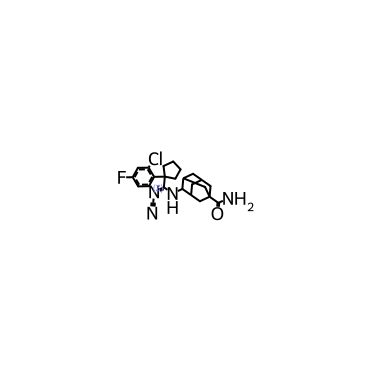 N#C/N=C(\NC1C2CC3CC1CC(C(N)=O)(C3)C2)C1(c2ccc(F)cc2Cl)CCCC1